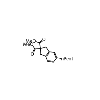 CCCCCc1ccc2c(c1)CC(C(=O)OC)(C(=O)OC)C2